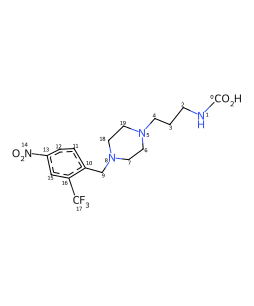 O=C(O)NCCCN1CCN(Cc2ccc([N+](=O)[O-])cc2C(F)(F)F)CC1